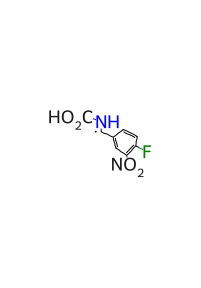 O=C(O)N[CH]c1ccc(F)c([N+](=O)[O-])c1